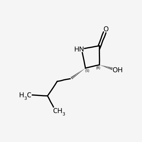 CC(C)CC[C@@H]1NC(=O)[C@@H]1O